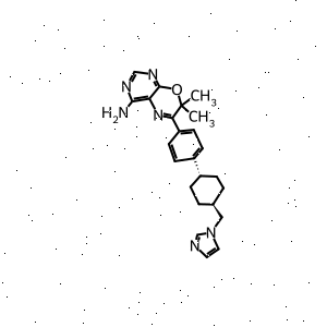 CC1(C)Oc2ncnc(N)c2N=C1c1ccc([C@H]2CC[C@H](Cn3ccnc3)CC2)cc1